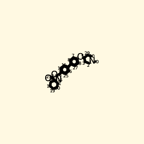 CN1CCC(Oc2ccc(-c3ccc(C4=NC5(CCCCC5)C(=O)O4)cc3)cc2)CC1